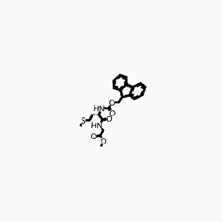 COC(=O)CNC(=O)[C@H](CCSC)NC(=O)OCC1c2ccccc2-c2ccccc21